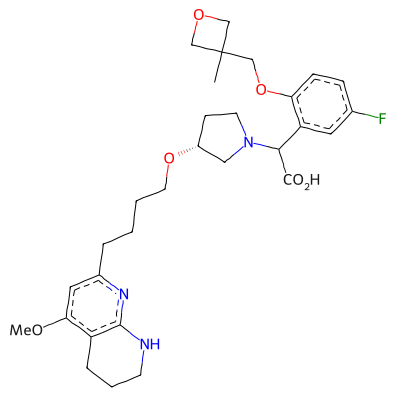 COc1cc(CCCCO[C@@H]2CCN(C(C(=O)O)c3cc(F)ccc3OCC3(C)COC3)C2)nc2c1CCCN2